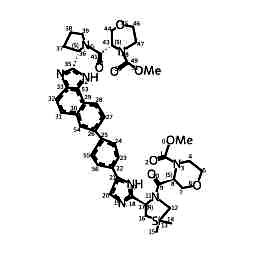 COC(=O)N1CCOC[C@H]1C(=O)N1C[Si](C)(C)C[C@H]1c1ncc(-c2ccc(-c3ccc4c(ccc5nc([C@@H]6CCCN6C(=O)[C@@H]6COCCN6C(=O)OC)[nH]c54)c3)cc2)[nH]1